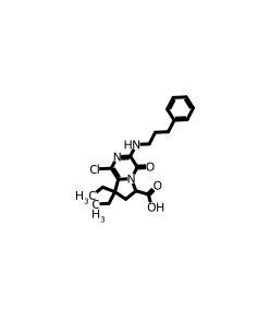 CCC1(CC)CC(C(=O)O)n2c1c(Cl)nc(NCCCc1ccccc1)c2=O